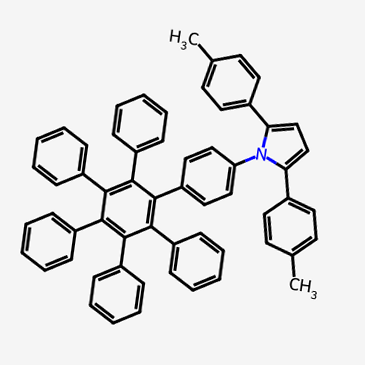 Cc1ccc(-c2ccc(-c3ccc(C)cc3)n2-c2ccc(-c3c(-c4ccccc4)c(-c4ccccc4)c(-c4ccccc4)c(-c4ccccc4)c3-c3ccccc3)cc2)cc1